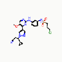 COc1cnc(Nc2cccc(NS(=O)(=O)CCCCl)c2)nc1-c1cnn(C(CC#N)C2CC2)c1